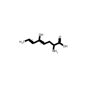 C/C=C/C(O)=C/CC(N)C(=O)O